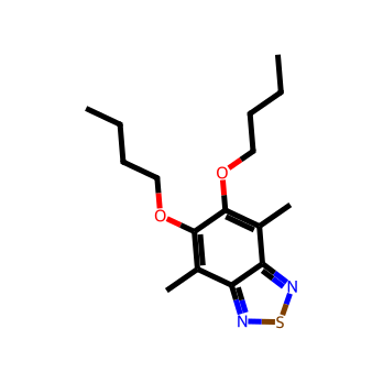 CCCCOc1c(OCCCC)c(C)c2nsnc2c1C